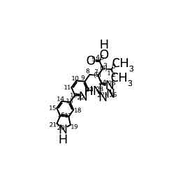 CC(C)[C@H](C(=O)O)[C@H](Cc1ccc(-c2ccc3c(c2)CNC3)nc1)c1nnn[nH]1